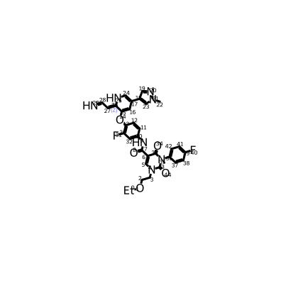 CCOCCn1cc(C(=O)Nc2ccc(OC3=CC(c4cnn(C)c4)=CN/C3=C\C=N)c(F)c2)c(=O)n(-c2ccc(F)cc2)c1=O